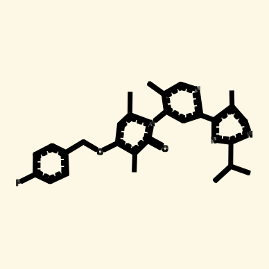 Cc1cnc(-c2nc(C(C)C)ncc2C)cc1-n1c(C)cc(OCc2ccc(F)cc2)c(C)c1=O